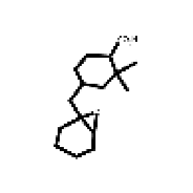 CC1(C)CC(CC23CCCCC2O3)CCC1C(=O)O